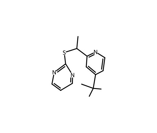 CC(Sc1ncccn1)c1cc(C(C)(C)C)ccn1